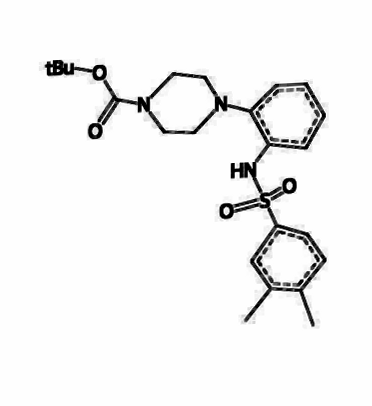 Cc1ccc(S(=O)(=O)Nc2ccccc2N2CCN(C(=O)OC(C)(C)C)CC2)cc1C